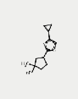 CCCC1(C)CCC(c2nc(C3CC3)cs2)C1